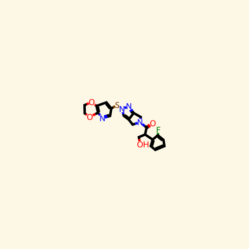 O=C(C(CO)c1ccccc1F)N1Cc2cn(Sc3cnc4c(c3)OCCO4)nc2C1